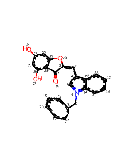 O=C1C(=Cc2cn(Cc3ccccc3)c3ccccc23)Oc2cc(O)cc(O)c21